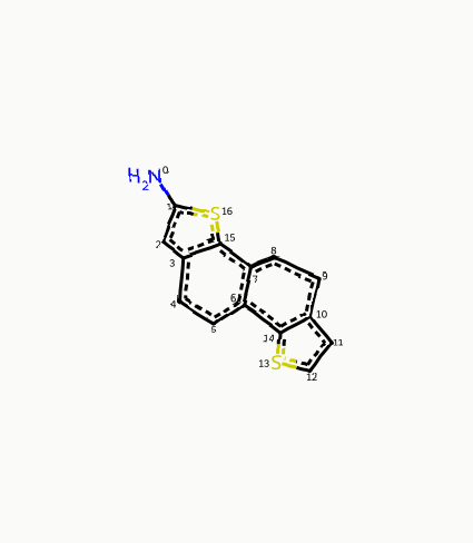 Nc1cc2ccc3c(ccc4ccsc43)c2s1